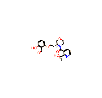 C[C@@H](O)c1ncccc1C(=O)N1CCOC[C@H]1CCOc1cccc(O)c1C=O